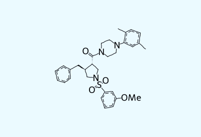 COc1cccc(S(=O)(=O)N2C[C@@H](Cc3ccccc3)[C@H](C(=O)N3CCN(c4cc(C)ccc4C)CC3)C2)c1